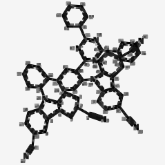 N#Cc1ccc2c(c1)c1cc(C#N)ccc1n2-c1ccccc1-c1ccc(-n2c3ccc(C#N)cc3c3cc(C#N)ccc32)c(-c2nc(-c3ccccc3)nc(-c3ccccc3)n2)c1